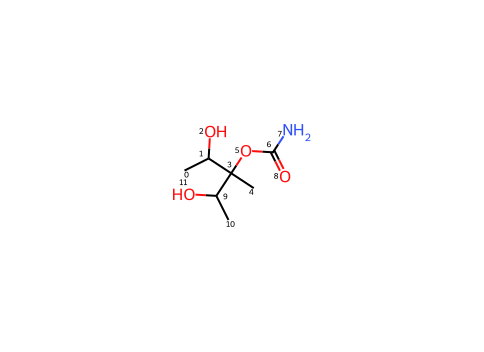 CC(O)C(C)(OC(N)=O)C(C)O